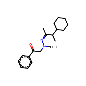 C/C(=N/N(C=O)CC(=O)c1ccccc1)C(C)C1CCCCC1